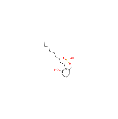 CCCCCCCCC(c1c(C)cccc1O)S(=O)(=O)O